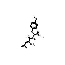 COc1ccc(C[C@@H](C(N)=O)N(C)C(=O)[C@@H](N)CC(C)C)cc1